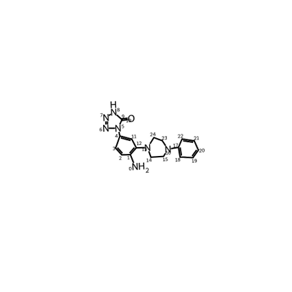 Nc1ccc(-n2nn[nH]c2=O)cc1N1CCN(c2ccccc2)CC1